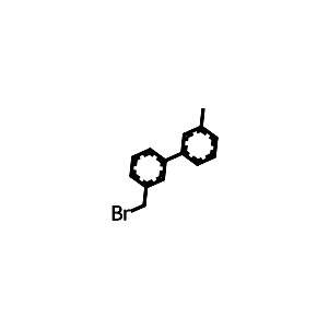 Cc1cccc(-c2cccc(CBr)c2)c1